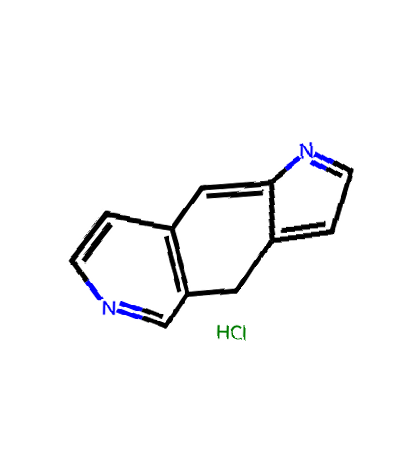 C1=NC2=Cc3ccncc3CC2=C1.Cl